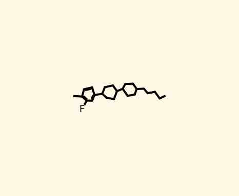 CCCCCC1CCC(C2CCC(c3ccc(C)c(F)c3)CC2)CC1